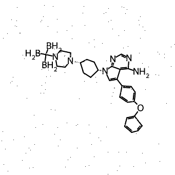 BC(B)(B)N1CCN([C@H]2CC[C@@H](n3cc(-c4ccc(Oc5ccccc5)cc4)c4c(N)ncnc43)CC2)CC1